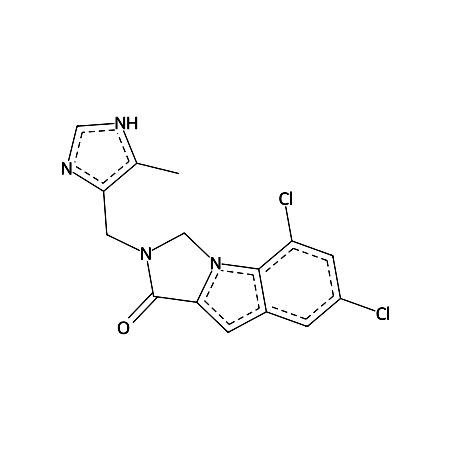 Cc1[nH]cnc1CN1Cn2c(cc3cc(Cl)cc(Cl)c32)C1=O